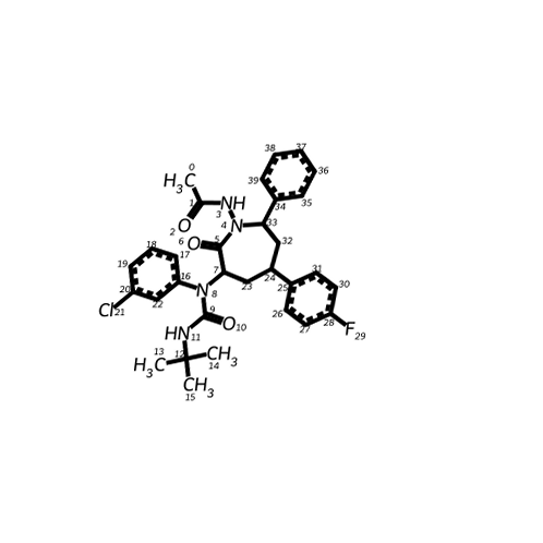 CC(=O)NN1C(=O)C(N(C(=O)NC(C)(C)C)c2cccc(Cl)c2)CC(c2ccc(F)cc2)CC1c1ccccc1